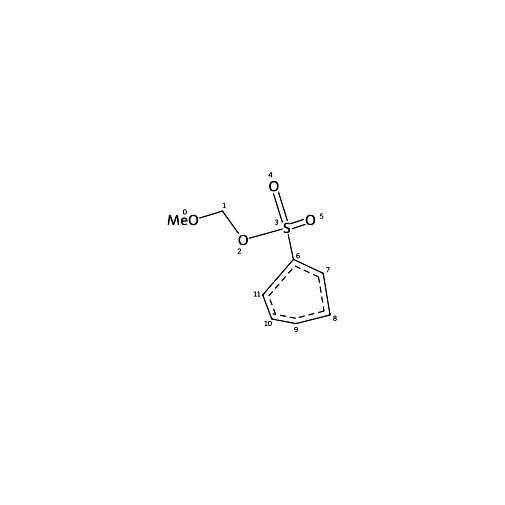 COCOS(=O)(=O)c1ccccc1